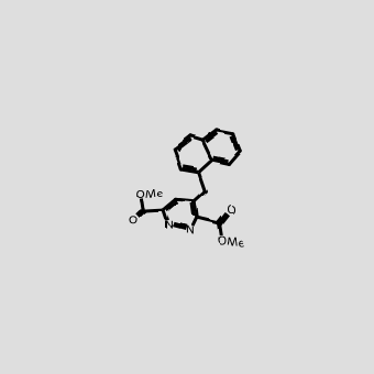 COC(=O)c1cc(Cc2cccc3ccccc23)c(C(=O)OC)nn1